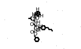 CCCCc1ccc(C(=O)N[C@@H](CNC(=O)OCc2ccccc2)C(=O)N[C@@H](CC(C)C)B2O[C@@H]3C[C@@H]4C[C@@H](C4(C)C)[C@]3(C)O2)cc1